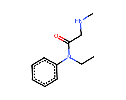 CCN(C(=O)CNC)c1ccccc1